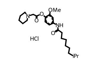 COc1cc(NC(=O)CCCCCCC(C)C)ccc1OC(=O)CN1CCCCC1.Cl